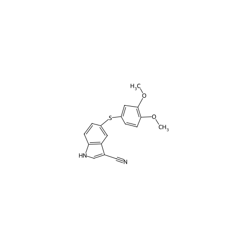 COc1ccc(Sc2ccc3[nH]cc(C#N)c3c2)cc1OC